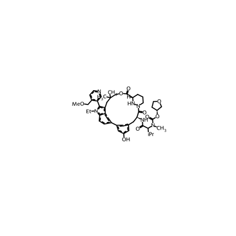 CCn1c(-c2cnccc2COC)c2c3cc(ccc31)-c1cc(O)cc(c1)C[C@H](NC(=O)C(C(C)C)N(C)C(=O)O[C@H]1CCOC1)C(=O)N1CCC[C@H](N1)C(=O)OCC(C)(C)C2